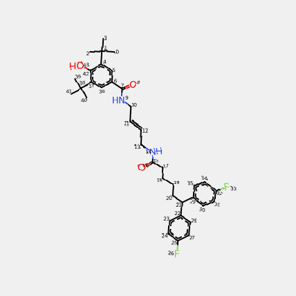 CC(C)(C)c1cc(C(=O)NCC=CCNC(=O)CCCCC(c2ccc(F)cc2)c2ccc(F)cc2)cc(C(C)(C)C)c1O